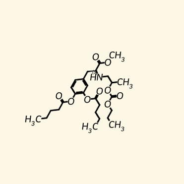 CCCCC(=O)Oc1ccc(C[C@H](NCC(C)OC(=O)OCCC)C(=O)OC)cc1OC(=O)CCCC